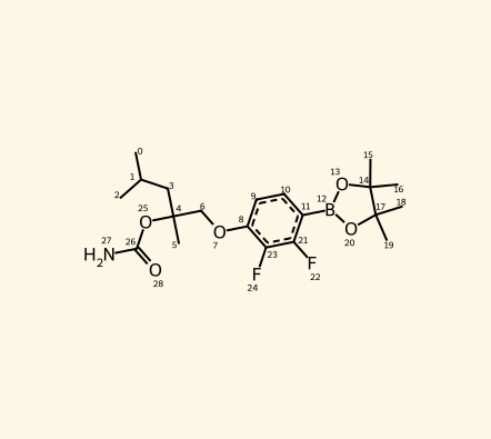 CC(C)CC(C)(COc1ccc(B2OC(C)(C)C(C)(C)O2)c(F)c1F)OC(N)=O